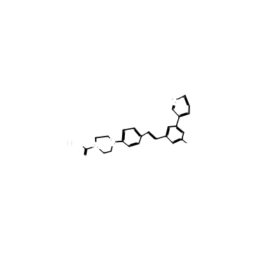 CC(=O)N1CCN(c2ccc(/C=C/c3cc(F)cc(-c4cccnc4)c3)cc2)CC1